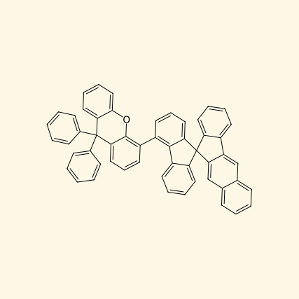 c1ccc(C2(c3ccccc3)c3ccccc3Oc3c(-c4cccc5c4-c4ccccc4C54c5ccccc5-c5cc6ccccc6cc54)cccc32)cc1